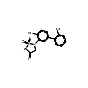 Cc1ccccc1-c1ccc(O)c(N2CC(=O)NS2(=O)=O)c1